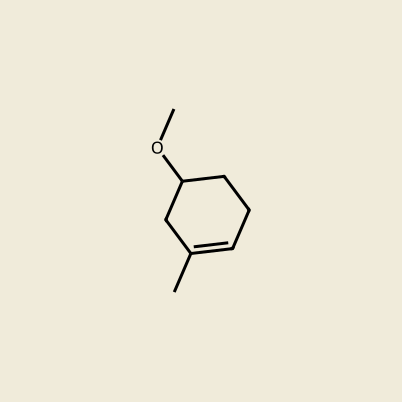 COC1CCC=C(C)C1